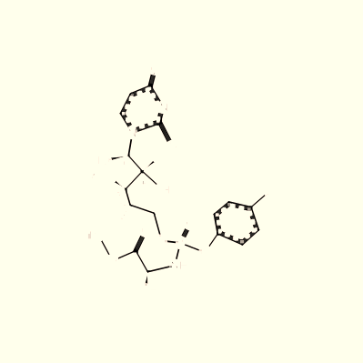 CC(=O)O[C@H]([C@@H](F)COP(=O)(N[C@@H](C)C(=O)OC(C)C)Oc1ccc(Cl)cc1)[C@@](C)(O)[C@@H](O)n1ccc(=O)[nH]c1=O